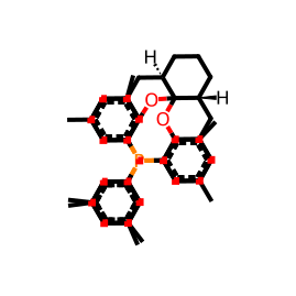 Cc1cc(C)cc(P(c2cc(C)cc(C)c2)c2cccc3c2OC24Oc5c(cccc5P(c5cc(C)cc(C)c5)c5cc(C)cc(C)c5)C[C@H]2CCC[C@@H]4C3)c1